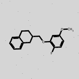 COc1ccc(F)c(OCC2CCc3ccccc3C2)c1